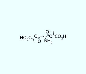 CC(OC(=O)C[C@H](N)C(=O)OC(C)C(=O)O)C(=O)O